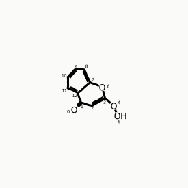 O=c1cc(OO)oc2ccccc12